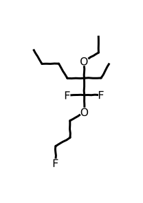 CCCCC(CC)(OCC)C(F)(F)OCCCF